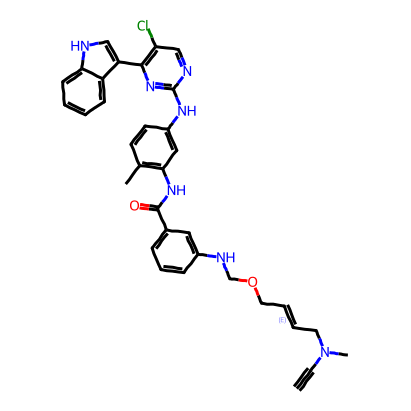 C#CN(C)C/C=C/COCNc1cccc(C(=O)Nc2cc(Nc3ncc(Cl)c(-c4c[nH]c5ccccc45)n3)ccc2C)c1